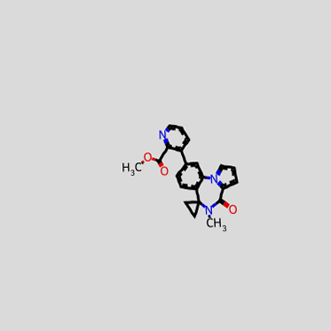 COC(=O)c1ncccc1-c1ccc2c(c1)-n1cccc1C(=O)N(C)C21CC1